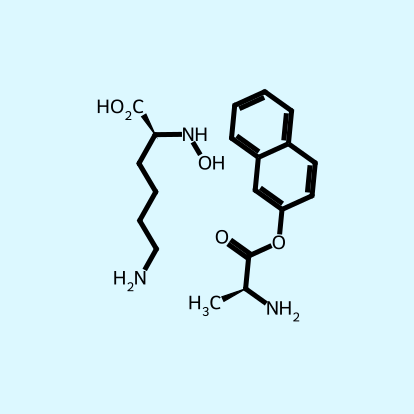 C[C@H](N)C(=O)Oc1ccc2ccccc2c1.NCCCC[C@H](NO)C(=O)O